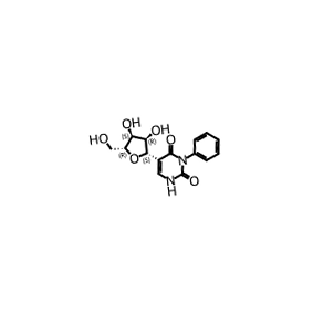 O=c1[nH]cc([C@@H]2O[C@H](CO)[C@@H](O)[C@H]2O)c(=O)n1-c1ccccc1